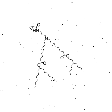 CCCCCCCC(CCCCCCC)OC(=O)CCCCCCCN(CCCCCCCC(=O)OCCC(CCCC)CCCC)CCCNC(=O)C1(C)CC1